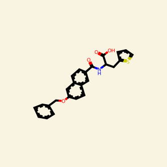 O=C(NC(Cc1cccs1)C(=O)O)c1ccc2cc(OCc3ccccc3)ccc2c1